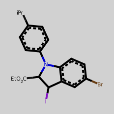 CCOC(=O)C1C(I)c2cc(Br)ccc2N1c1ccc(C(C)C)cc1